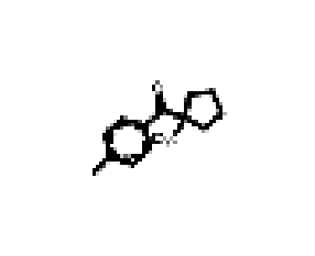 Cc1ccc(C(=O)C2(C(=O)O)CCCC2)cc1